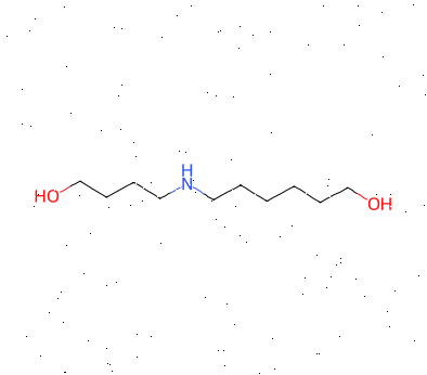 OCCCCCCNCCCCO